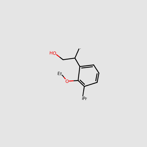 [CH2]C(CO)c1cccc(C(C)C)c1OCC